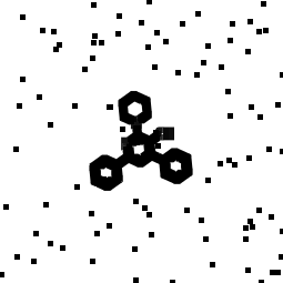 N#Cc1c(-c2ccccc2)cc(-c2ccccc2)nc1N1CCCCC1